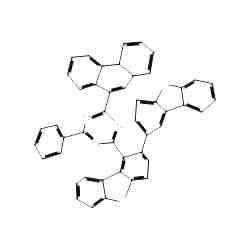 C1=CC2C=C(c3nc(-c4ccccc4)nc(-c4c(-c5ccc6oc7ccccc7c6c5)ccc5oc6ccccc6c45)n3)c3ccccc3C2C=C1